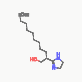 CCCCCCCCCCCCCCCCCCC(CO)C1=NCCN1